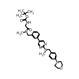 CN(Cc1cccc(-c2cnc(N(C)Cc3ccc(N4CCOCC4)cc3)nc2)c1)C(=O)CNC(=O)OC(C)(C)C